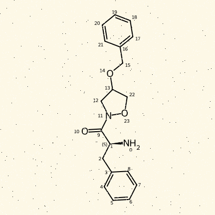 N[C@@H](Cc1ccccc1)C(=O)N1CC(OCc2ccccc2)CO1